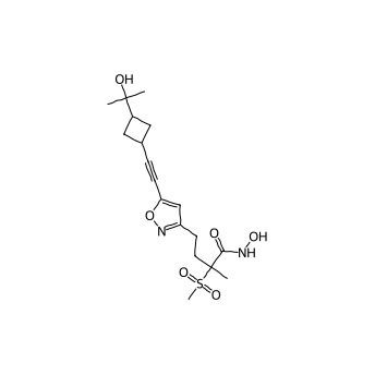 CC(C)(O)C1CC(C#Cc2cc(CCC(C)(C(=O)NO)S(C)(=O)=O)no2)C1